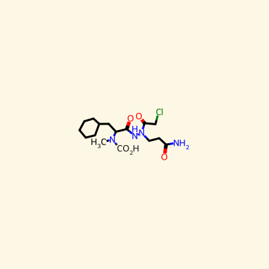 CN(C(=O)O)C(CC1CCCCC1)C(=O)NN(CCC(N)=O)C(=O)CCl